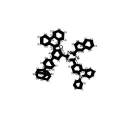 c1ccc(-n2c3ccccc3c3cc(-c4nc(-c5ccc6ccccc6c5)nc(-c5cc(-c6ccc(C78CC9CC(CC(C9)C7)C8)cc6)cc6c5oc5c7ccccc7c7ccccc7c65)n4)ccc32)cc1